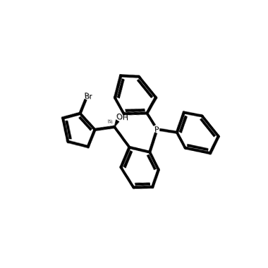 O[C@H](C1=C(Br)C=CC1)c1ccccc1P(c1ccccc1)c1ccccc1